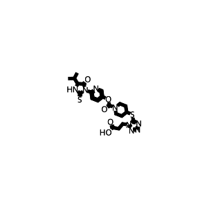 CC(C)C1NC(=S)N(c2ccc(OC(=O)N3CCC(Sc4nnnn4CCC(=O)O)CC3)cn2)C1=O